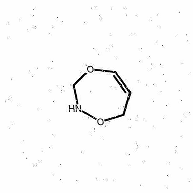 [CH]1NOCC=CO1